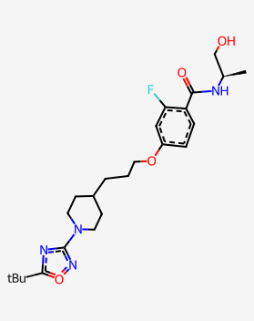 C[C@H](CO)NC(=O)c1ccc(OCCCC2CCN(c3noc(C(C)(C)C)n3)CC2)cc1F